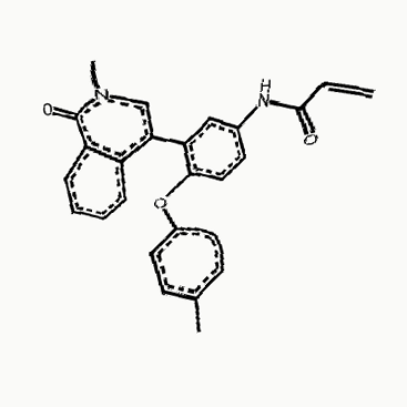 C=CC(=O)Nc1ccc(Oc2ccc(C)cc2)c(-c2cn(C)c(=O)c3ccccc23)c1